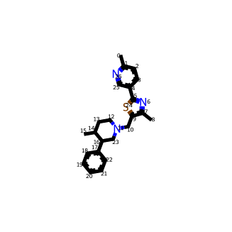 Cc1ccc(-c2nc(C)c(CN3CCC(C)C(c4ccccc4)C3)s2)cn1